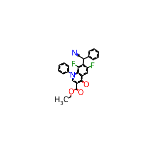 CCOC(=O)c1cn(-c2ccccc2)c2c(F)c(C(C#N)c3ccccc3)c(F)cc2c1=O